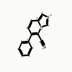 N#Cc1c(-c2ccccc2)ccc2cncn12